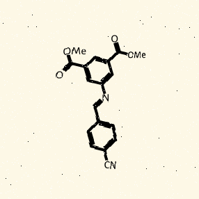 COC(=O)c1cc(N=Cc2ccc(C#N)cc2)cc(C(=O)OC)c1